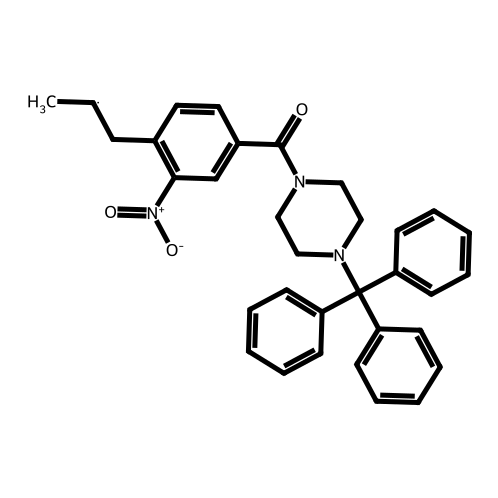 C[CH]Cc1ccc(C(=O)N2CCN(C(c3ccccc3)(c3ccccc3)c3ccccc3)CC2)cc1[N+](=O)[O-]